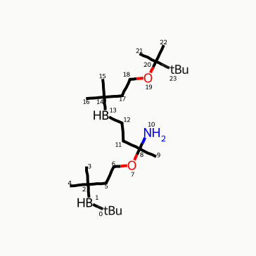 CC(C)(C)BC(C)(C)CCOC(C)(N)CCBC(C)(C)CCOC(C)(C)C(C)(C)C